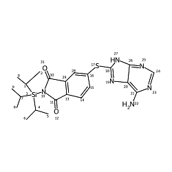 CC(C)[Si](C(C)C)(C(C)C)N1C(=O)c2ccc(Sc3nc4c(N)ncnc4[nH]3)cc2C1=O